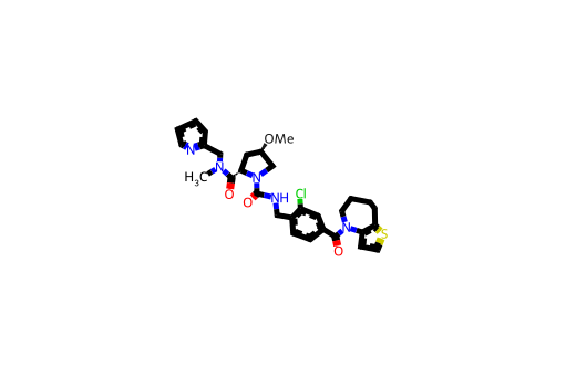 CO[C@@H]1C[C@@H](C(=O)N(C)Cc2ccccn2)N(C(=O)NCc2ccc(C(=O)N3CCCCc4sccc43)cc2Cl)C1